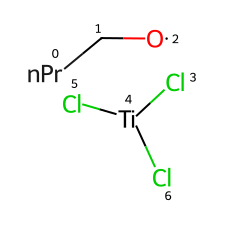 CCCC[O].[Cl][Ti]([Cl])[Cl]